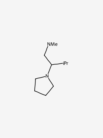 CNCC(C(C)C)N1CCCC1